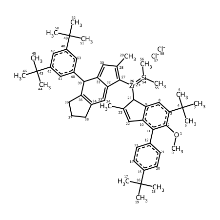 COc1c(C(C)(C)C)cc2c(c1-c1ccc(C(C)(C)C)cc1)C=C(C)[CH]2[Zr+2]([C]1=C(C)C=C2C1=CC1=C(CCC1)C2c1cc(C(C)(C)C)cc(C(C)(C)C)c1)=[Si](C)C.[Cl-].[Cl-]